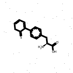 N[C@@H](Cc1ccc(C2=CC=CCC2=S)cc1)C(=O)O